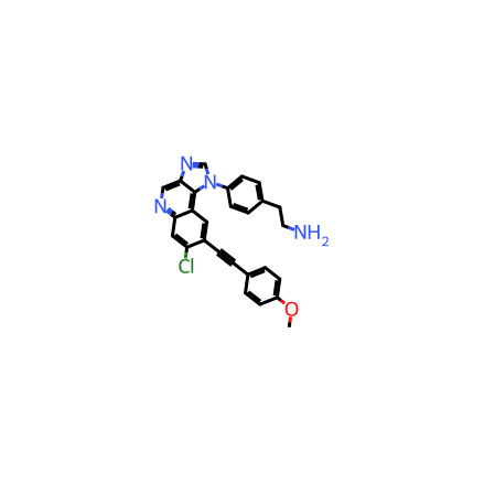 COc1ccc(C#Cc2cc3c(cc2Cl)ncc2ncn(-c4ccc(CCN)cc4)c23)cc1